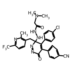 Cc1nc(C(F)(F)F)ccc1CC1(NNC(=O)CN(C)C)N=NC(=O)C(c2ccc(C#N)cc2)=C1c1ccc(Cl)cc1